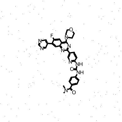 CN(C)C(=O)c1ccc(NC(=O)Nc2ccc(-c3nc(N4CCOCC4)c4cc(F)c(-c5cncnc5)cc4n3)cn2)cc1